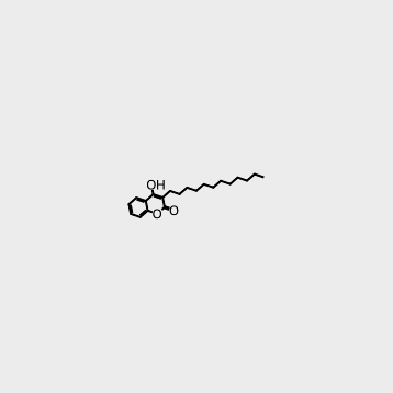 CCCCCCCCCCCCc1c(O)c2ccccc2oc1=O